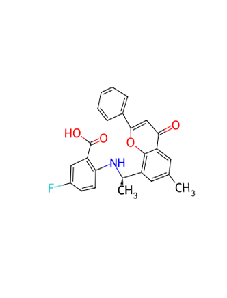 Cc1cc([C@@H](C)Nc2ccc(F)cc2C(=O)O)c2oc(-c3ccccc3)cc(=O)c2c1